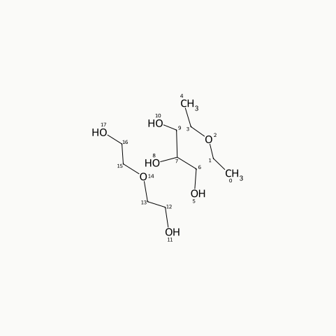 CCOCC.OCC(O)CO.OCCOCCO